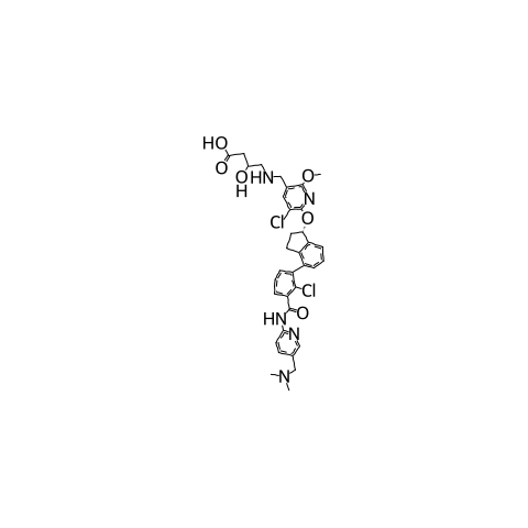 COc1nc(O[C@H]2CCc3c(-c4cccc(C(=O)Nc5ccc(CN(C)C)cn5)c4Cl)cccc32)c(Cl)cc1CNCC(O)CC(=O)O